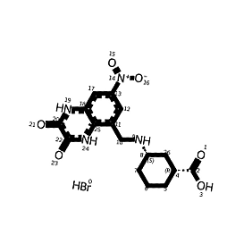 Br.O=C(O)[C@@H]1CCC[C@H](NCc2cc([N+](=O)[O-])cc3[nH]c(=O)c(=O)[nH]c23)C1